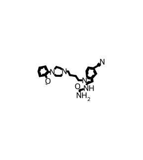 COc1ccccc1N1CCN(CCCCn2c(NC(N)=O)cc3cc(C#N)ccc32)CC1